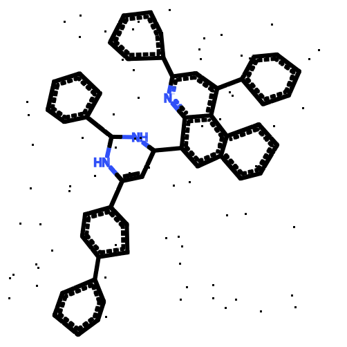 C1=C(c2ccc(-c3ccccc3)cc2)NC(c2ccccc2)NC1c1cc2ccccc2c2c(-c3ccccc3)cc(-c3ccccc3)nc12